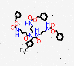 O=C(NCCCNC(=O)C(c1ccc(C(F)(F)F)cc1)N(CCCNC(=O)OCc1ccccc1)C(=O)CCCNC(=O)OCc1ccccc1)OCc1ccccc1